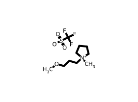 COCCC[N+]1(C)CCCC1.O=S(=O)([O-])C(F)(F)F